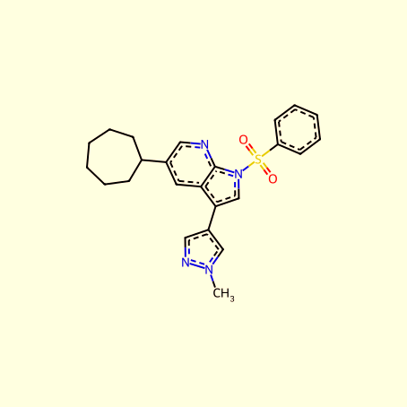 Cn1cc(-c2cn(S(=O)(=O)c3ccccc3)c3ncc(C4CCCCCC4)cc23)cn1